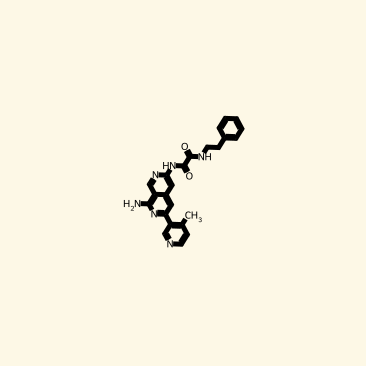 Cc1ccncc1-c1cc2cc(NC(=O)C(=O)NCCc3ccccc3)ncc2c(N)n1